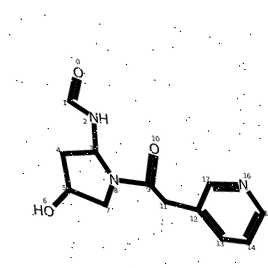 O=CNC1CC(O)CN1C(=O)Cc1cccnc1